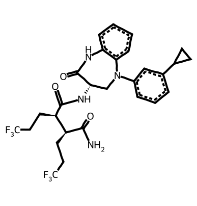 NC(=O)[C@@H](CCC(F)(F)F)[C@@H](CCC(F)(F)F)C(=O)N[C@H]1CN(c2cccc(C3CC3)c2)c2ccccc2NC1=O